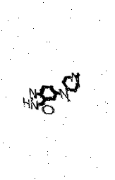 CN1CCC(N(C)c2ccc3nc[nH]c(=O)c3c2)CC1